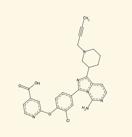 CC#CCN1CCCC(c2nc(-c3ccc(Oc4cc(C(=O)O)ccn4)c(Cl)c3)n3c(N)nccc23)C1